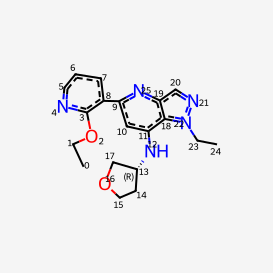 CCOc1ncccc1-c1cc(N[C@@H]2CCOC2)c2c(cnn2CC)n1